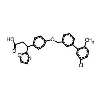 Cc1ccc(Cl)cc1-c1cccc(COc2ccc(C(CC(=O)O)c3ncco3)cc2)c1